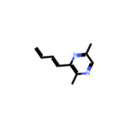 C=CC=Cc1nc(C)cnc1C